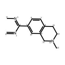 C=N/C(=N\C)c1ccc2c(c1)CN(C)CC2